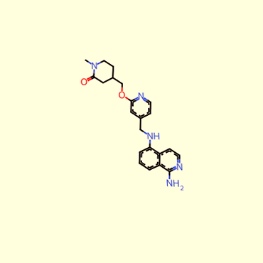 CN1CCC(COc2cc(CNc3cccc4c(N)nccc34)ccn2)CC1=O